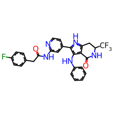 O=C(Cc1ccc(F)cc1)Nc1cc(-c2[nH]c3c(c2Nc2ccccc2)C(=O)NC(C(F)(F)F)C3)ccn1